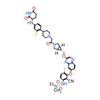 CCN(C)S(=O)(=O)Nc1ccc(F)c(Oc2ccc3ncc(OC[C@@H]4[C@H]5CN(C(=O)CN6CCC(c7ccc(NC8CCC(=O)NC8=O)cc7F)CC6)C[C@@H]45)nc3c2)c1C#N